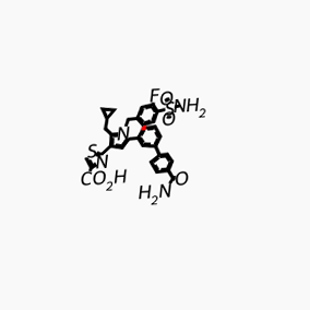 NC(=O)c1ccc(-c2cccc(-c3cc(-c4nc(C(=O)O)cs4)c(CC4CC4)n3Cc3ccc(S(N)(=O)=O)c(F)c3)c2)cc1